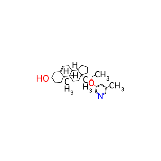 Cc1cncc(OC(C)[C@H]2CC[C@H]3[C@@H]4CC=C5C[C@@H](O)CC[C@]5(C)[C@H]4CC[C@]23C)c1